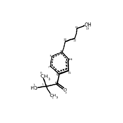 CC(C)(O)C(=O)c1ccc(CCCO)cc1